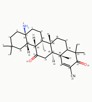 CC1(C)CC[C@]2(N)CC[C@]3(C)[C@H](C(=O)C[C@@H]4[C@@]5(C)C=C(C#N)C(=O)C(C)(C)C5CC[C@]43C)[C@@H]2C1